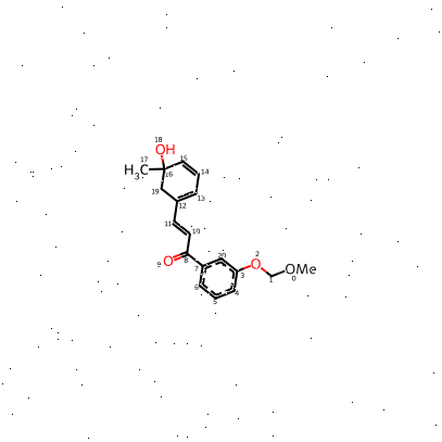 COCOc1cccc(C(=O)C=CC2=CC=CC(C)(O)C2)c1